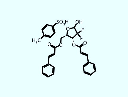 Cc1ccc(S(=O)(=O)O)cc1.O=C(C=Cc1ccccc1)OC[C@H]1OC(O)C(F)(F)[C@@H]1OC(=O)C=Cc1ccccc1